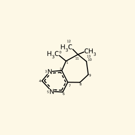 CC1c2ncncc2CCCC1(C)C